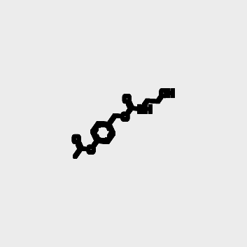 CC(=O)Oc1ccc(COC(=O)NCCO)cc1